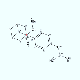 CC(C)(C)OC(=O)N1C2CC1CN(c1ccc(OB(O)O)cn1)C2